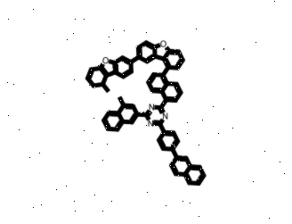 Cc1cc(-c2nc(-c3ccc(-c4ccc5ccccc5c4)cc3)nc(-c3cccc4c(-c5cccc6oc7ccc(-c8ccc9c%10c(oc9c8)C=CCC%10C)cc7c56)cccc34)n2)cc2ccccc12